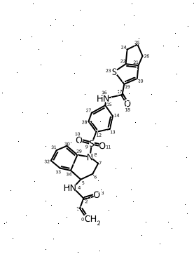 C=CC(=O)NC1CCN(S(=O)(=O)c2ccc(NC(=O)c3cc4c(s3)CCC4)cc2)c2ccccc21